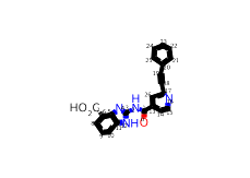 O=C(Nc1nc2c(C(=O)O)cccc2[nH]1)c1ccnc(C#Cc2ccccc2)c1